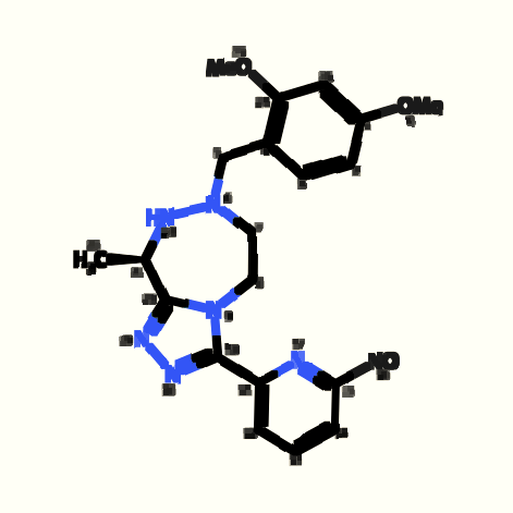 COc1ccc(CN2CCn3c(-c4cccc(N=O)n4)nnc3[C@@H](C)N2)c(OC)c1